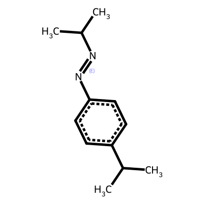 CC(C)/N=N/c1ccc(C(C)C)cc1